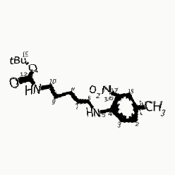 Cc1ccc(NCCCCCNC(=O)OC(C)(C)C)c([N+](=O)[O-])c1